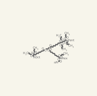 C/C=C/C(=O)OC(CCCCCCCC)C(CCCCCCCC(=O)OCC(COC(=O)CCCCCCCC(OC(=O)/C=C/C)C(CC(OC(=O)/C=C/C)C(CCCCC)OC(=O)/C=C/C)OC(=O)/C=C/C)OC(=O)CCCCCCCC(OC(=O)/C=C/C)C(CCCCCC)OC(=O)CCC)OC(=O)/C=C/C